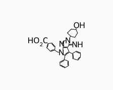 N=c1c2c(-c3ccccc3)c(-c3ccccc3)n(Cc3ccc(C(=O)O)cc3)c2ncn1C1CCC(O)CC1